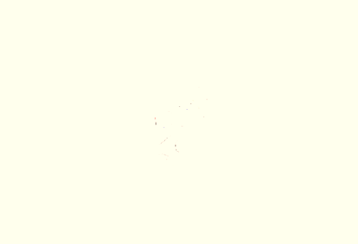 O=C1OCc2cc(Cl)ccc2N1C1CCN(S(=O)(=O)CCCI)CC1